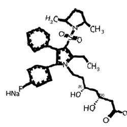 CCc1c(S(=O)(=O)N2C(C)CCC2C)c(-c2ccccc2)c(-c2ccc(F)cc2)n1CC[C@@H](O)C[C@@H](O)CC(=O)O.[NaH]